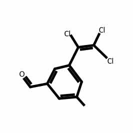 Cc1cc(C=O)cc(C(Cl)=C(Cl)Cl)c1